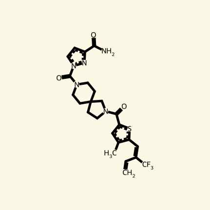 C=C/C(=C\c1sc(C(=O)N2CCC3(CCN(C(=O)n4ccc(C(N)=O)n4)CC3)C2)cc1C)C(F)(F)F